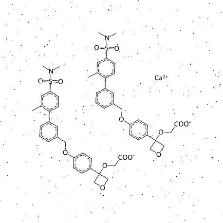 Cc1cc(S(=O)(=O)N(C)C)ccc1-c1cccc(COc2ccc(C3(OCC(=O)[O-])COC3)cc2)c1.Cc1cc(S(=O)(=O)N(C)C)ccc1-c1cccc(COc2ccc(C3(OCC(=O)[O-])COC3)cc2)c1.[Ca+2]